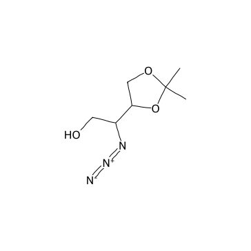 CC1(C)OCC(C(CO)N=[N+]=[N-])O1